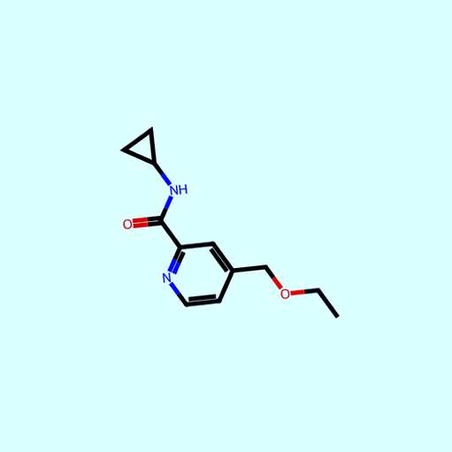 CCOCc1ccnc(C(=O)NC2CC2)c1